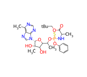 Cc1ncnc2c1ncn2[C@@H]1OC(C(C)OP(=S)(NC(C)C(=O)OCC(C)(C)C)Oc2ccccc2)[C@@H](O)[C@@]1(C)O